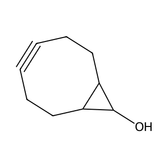 OC1C2CCC#CCCC12